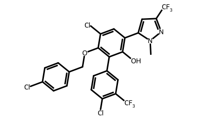 Cn1nc(C(F)(F)F)cc1-c1cc(Cl)c(OCc2ccc(Cl)cc2)c(-c2ccc(Cl)c(C(F)(F)F)c2)c1O